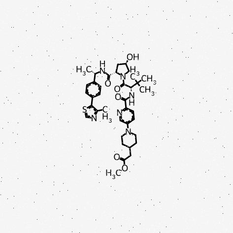 COC(=O)CC1CCN(c2ccc(C(=O)N[C@H](C(=O)N3C[C@H](O)C[C@H]3C(=O)N[C@@H](C)c3ccc(-c4scnc4C)cc3)C(C)(C)C)nc2)CC1